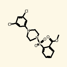 COC(=O)c1ccccc1S(=O)(=O)N1CCN(c2cc(Cl)cc(Cl)c2)CC1